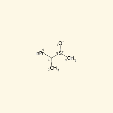 CCCC(C)[S+](C)[O-]